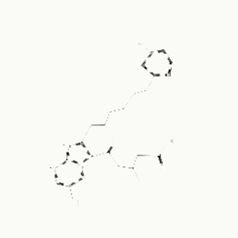 CC(CC(=O)O)CC(=O)c1c(CCCCCCc2cccc(Cl)c2)nc2ncc(Cl)cn12